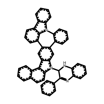 c1ccc(C2=Nc3ccccc3NC2n2c3cc4c(cc3c3c5ccccc5ccc32)-c2cccc3c5ccccc5n(c23)-c2ccccc2-4)cc1